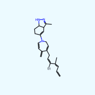 C=C/C=C(C)\C(=C/CC1=CCN(C2=CC3C(C)=NNC3CC2)C=CC1=C)CC